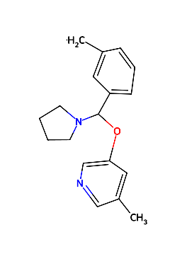 [CH2]c1cccc(C(Oc2cncc(C)c2)N2CCCC2)c1